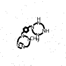 CN1CCCN2CCN(CCCN(Cc3ccc(CN4CCCNCCNCCCNCC4)cc3)CC1)CC2